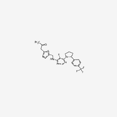 CC(=O)Cc1ccc(CNc2ncnc(N3CCCC3c3ccc(C(F)(F)F)cc3)c2F)s1